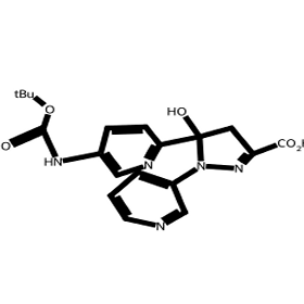 CC(C)(C)OC(=O)Nc1ccc(C2(O)CC(C(=O)O)=NN2c2cccnc2)nc1